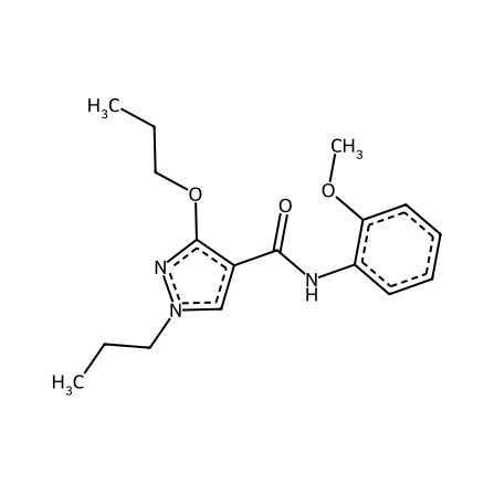 CCCOc1nn(CCC)cc1C(=O)Nc1ccccc1OC